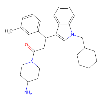 Cc1cccc(C(CC(=O)N2CCC(N)CC2)c2cn(CC3CCCCC3)c3ccccc23)c1